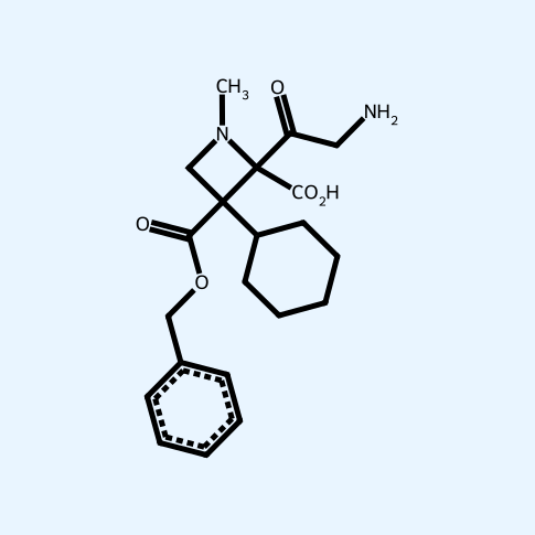 CN1CC(C(=O)OCc2ccccc2)(C2CCCCC2)C1(C(=O)O)C(=O)CN